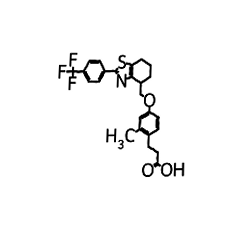 Cc1cc(OCC2CCCc3sc(-c4ccc(C(F)(F)F)cc4)nc32)ccc1CCC(=O)O